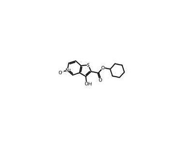 O=C(OC1CCCCC1)c1sc2cc[n+]([O-])cc2c1O